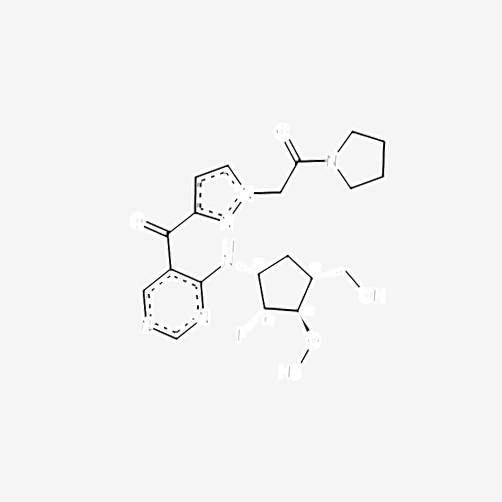 O=C(c1ccn(CC(=O)N2CCCC2)n1)c1cncnc1N[C@@H]1C[C@H](CO)[C@@H](OS)[C@@H]1F